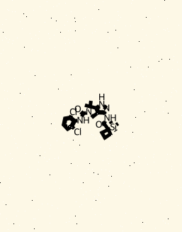 CC1(C)c2[nH]nc(NC(=O)C3([Si](C)(C)C)CCC3)c2CN1C(=O)Nc1c(Cl)cccc1Cl